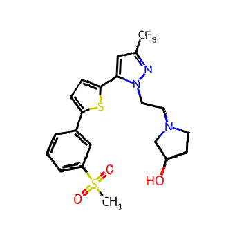 CS(=O)(=O)c1cccc(-c2ccc(-c3cc(C(F)(F)F)nn3CCN3CCC(O)C3)s2)c1